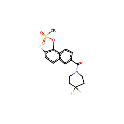 O=C(c1ccc2c(OS(=O)(=O)C(F)(F)F)c(F)ccc2c1)N1CCC(F)(F)CC1